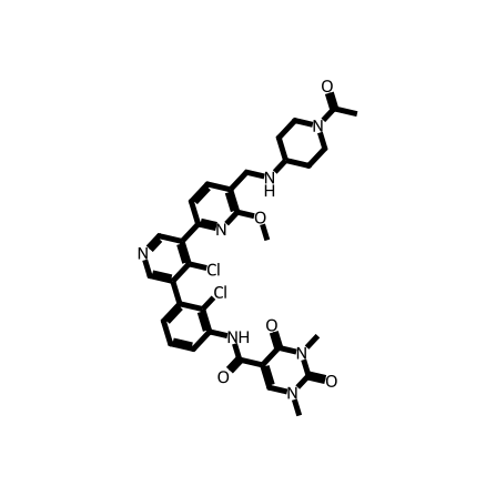 COc1nc(-c2cncc(-c3cccc(NC(=O)c4cn(C)c(=O)n(C)c4=O)c3Cl)c2Cl)ccc1CNC1CCN(C(C)=O)CC1